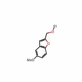 CCOCc1cc2cc(OC)ccc2o1